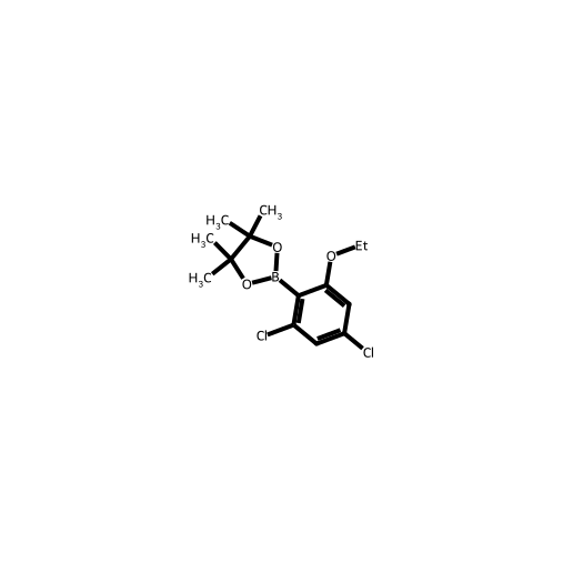 CCOc1cc(Cl)cc(Cl)c1B1OC(C)(C)C(C)(C)O1